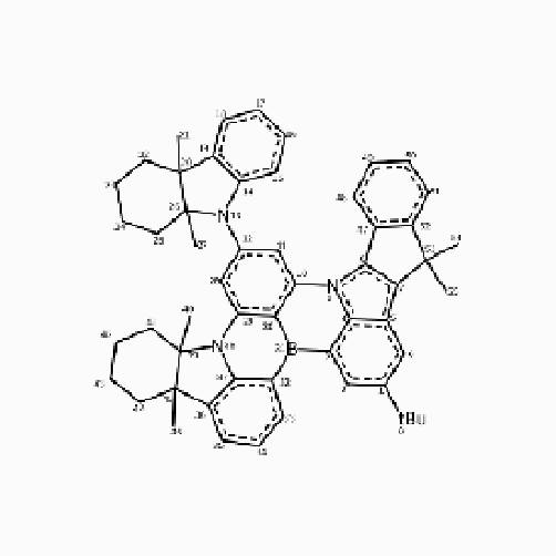 CC(C)(C)c1cc2c3c(c1)c1c(n3-c3cc(N4c5ccccc5C5(C)CCCCC45C)cc4c3B2c2cccc3c2N4C2(C)CCCCC32C)-c2ccccc2C1(C)C